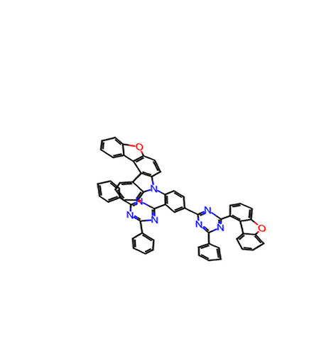 c1ccc(-c2nc(-c3ccccc3)nc(-c3cc(-c4nc(-c5ccccc5)nc(-c5cccc6oc7ccccc7c56)n4)ccc3-n3c4ccccc4c4c5c(ccc43)oc3ccccc35)n2)cc1